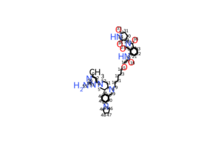 Cc1cc(N2CCC(N(CCCCCCOCC(=O)Nc3cccc4c3C(=O)N(C3CCC(=O)NC3=O)C4=O)Cc3cccc(N4CCCC4)c3)CC2)nc(N)n1